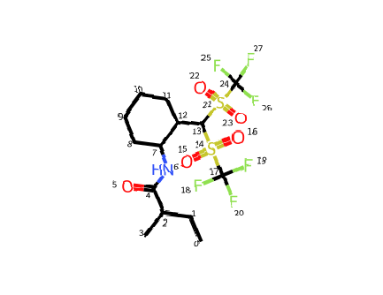 CCC(C)C(=O)NC1CCCCC1C(S(=O)(=O)C(F)(F)F)S(=O)(=O)C(F)(F)F